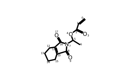 C=CC(=O)OC(C)N1C(=O)C2=C(CCCC2)C1=O